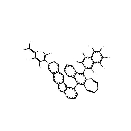 C\C(O)=C(O)/C(O)=C(O)\C(=C(/C)O)c1ccc2cc3c(cc2c1)oc1cccc(-c2c4c(c(-c5c(O)c(O)c6c(O)c(O)c(O)c(O)c6c5O)c5ccccc25)C=CCC=C4)c13